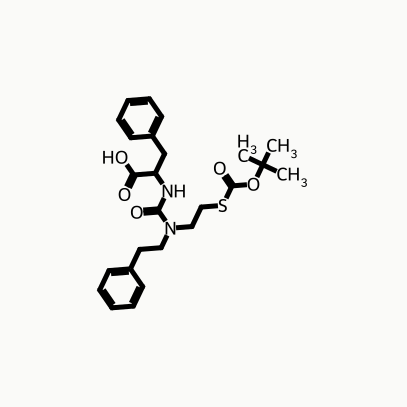 CC(C)(C)OC(=O)SCCN(CCc1ccccc1)C(=O)NC(Cc1ccccc1)C(=O)O